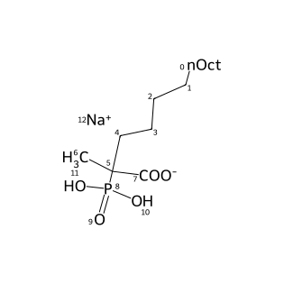 CCCCCCCCCCCCC(C)(C(=O)[O-])P(=O)(O)O.[Na+]